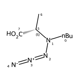 CCCCN(N=[N+]=[N-])[C@@H](C)C(=O)O